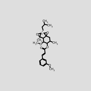 COc1cccc(C=CC(=O)OC2C(C)CC3(CO3)C([C@@]3(C)O[C@@H]3CCC(C)C)C2OC)c1